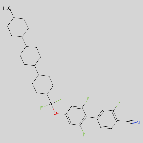 CC1CCC(C2CCC(C3CCC(C(F)(F)Oc4cc(F)c(-c5ccc(C#N)c(F)c5)c(F)c4)CC3)CC2)CC1